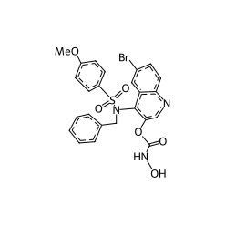 COc1ccc(S(=O)(=O)N(Cc2ccccc2)c2c(OC(=O)NO)cnc3ccc(Br)cc23)cc1